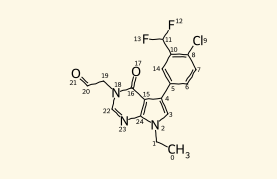 CCn1cc(-c2ccc(Cl)c(C(F)F)c2)c2c(=O)n(CC=O)cnc21